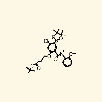 COc1ccccc1N(C)C(=O)c1cc(B2OC(C)(C)C(C)(C)O2)c(Cl)cc1OCCCC(=O)OC(C)(C)C